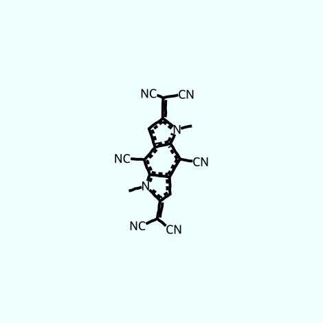 Cn1c(=C(C#N)C#N)cc2c(C#N)c3c(cc(=C(C#N)C#N)n3C)c(C#N)c21